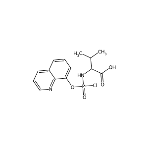 CC(C)C(NP(=O)(Cl)Oc1cccc2cccnc12)C(=O)O